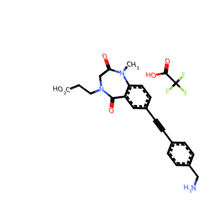 CN1C(=O)CN(CCC(=O)O)C(=O)c2cc(C#Cc3ccc(CN)cc3)ccc21.O=C(O)C(F)(F)F